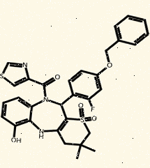 CC1(C)CC2=C(C(c3ccc(OCc4ccccc4)cc3F)N(C(=O)c3cscn3)c3cccc(O)c3N2)S(=O)(=O)C1